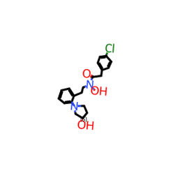 O=C(Cc1ccc(Cl)cc1)N(O)CCc1ccccc1N1CC[C@H](O)C1